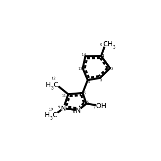 Cc1ccc(-c2c(O)nn(C)c2C)cc1